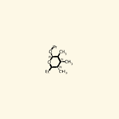 CCC1O[C@@H](OC(C)C)C(C)[C@@H](C)[C@@H]1C